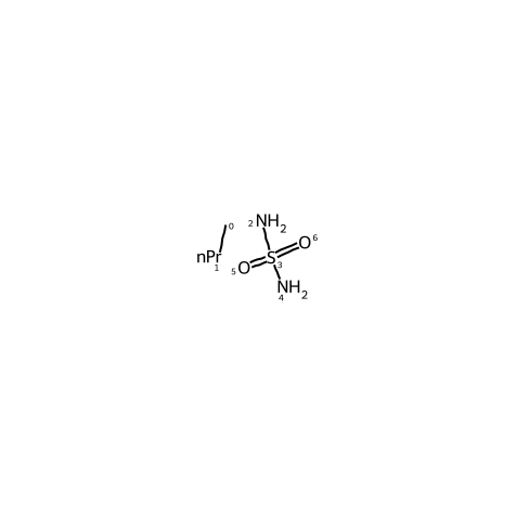 CCCC.NS(N)(=O)=O